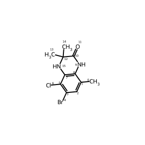 Cc1cc(Br)c(Cl)c2c1NC(=O)C(C)(C)N2